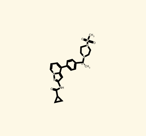 C[C@H](c1ccc(-c2cccn3nc(NC(=O)C4CC4)cc23)cc1)N1CCN(S(C)(=O)=O)CC1